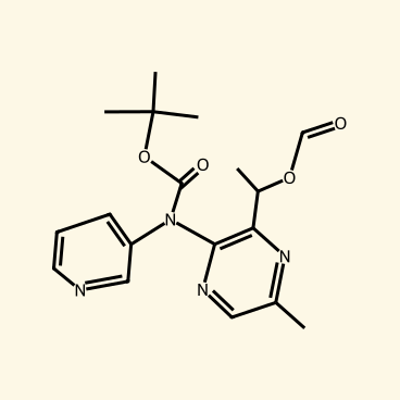 Cc1cnc(N(C(=O)OC(C)(C)C)c2cccnc2)c(C(C)OC=O)n1